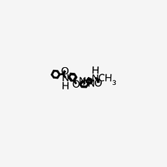 CC(=O)Nc1cn2nc(Oc3cccc(NC(=O)C4CCCCC4)c3)ccc2n1